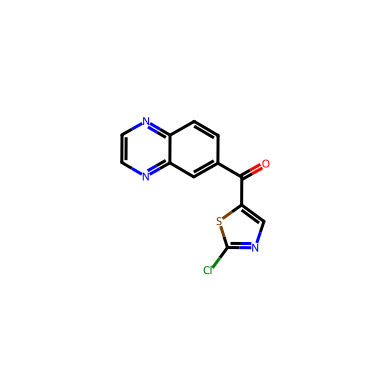 O=C(c1ccc2nccnc2c1)c1cnc(Cl)s1